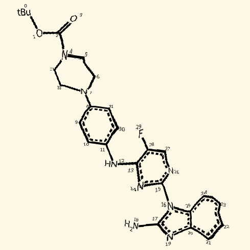 CC(C)(C)OC(=O)N1CCN(c2ccc(Nc3nc(-n4c(N)nc5ccccc54)ncc3F)cc2)CC1